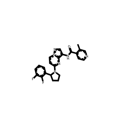 Cc1cnccc1C(=O)Nc1cnn2ccc(N3CCCC3c3cccc(F)c3F)nc12